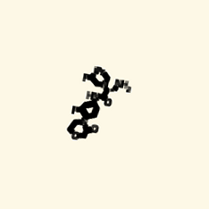 CC(C)CN(CC(F)F)[C@H](CN)C(=O)Nc1ccc(N2CCOCC2=O)c(F)c1